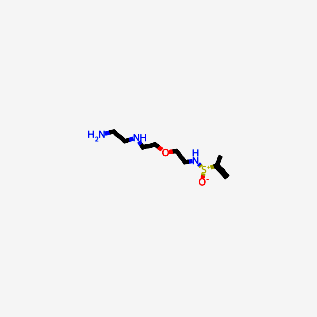 C=C(C)[S+]([O-])NCCOCCNCCN